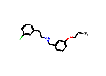 FC(F)(F)CCOc1cccc(CNCCc2cccc(Cl)c2)c1